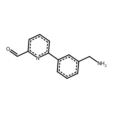 NCc1cccc(-c2cccc(C=O)n2)c1